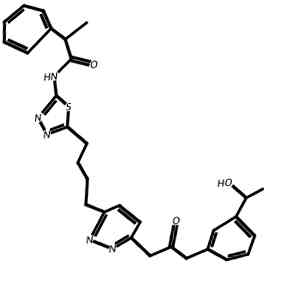 CC(O)c1cccc(CC(=O)Cc2ccc(CCCCc3nnc(NC(=O)C(C)c4ccccc4)s3)nn2)c1